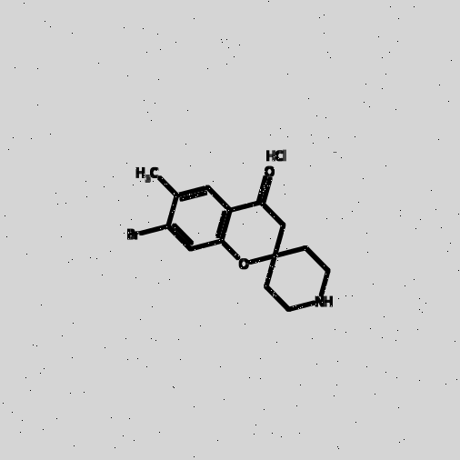 Cc1cc2c(cc1Br)OC1(CCNCC1)CC2=O.Cl